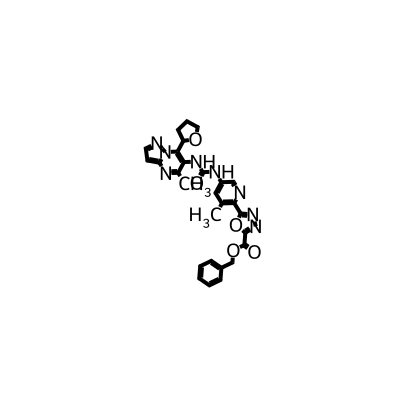 Cc1cc(NC(=O)Nc2c(C)nc3ccnn3c2C2CCCO2)cnc1-c1nnc(C(=O)OCc2ccccc2)o1